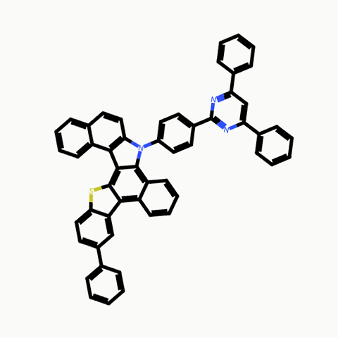 c1ccc(-c2ccc3sc4c(c3c2)c2ccccc2c2c4c3c4ccccc4ccc3n2-c2ccc(-c3nc(-c4ccccc4)cc(-c4ccccc4)n3)cc2)cc1